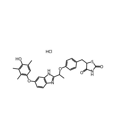 Cc1cc(Oc2ccc3nc(C(C)Oc4ccc(CC5SC(=O)NC5=O)cc4)[nH]c3c2)c(C)c(C)c1O.Cl